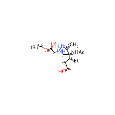 C=C(N)C(CNCC(=O)OCC(C)(C)C)(NC(C)=O)C(CC)CCO